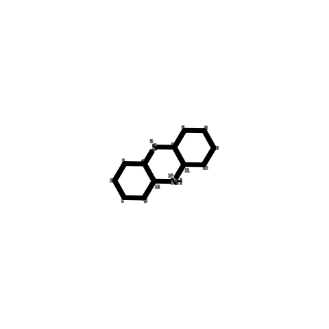 [CH]1CCCC2SC3CCCCC3NC12